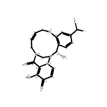 C[C@H]1c2ccc(C(F)F)cc2OC/C=C\CN2CN1n1ccc(=O)c(O)c1C2=O